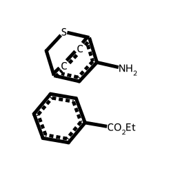 CCOC(=O)c1ccccc1.Nc1cc2ccc1SC2